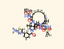 CN(C)c1nc(-c2cccc(C(=O)N3C[C@H]4CN5C(=O)[C@@H](NC(=O)OC(C)(C)C)CCCCC/C=C\[C@H]6C[C@@]6(C(=O)NS(=O)(=O)C6CC6)NC(=O)[C@@H]5[C@H]4C3)c2)cs1